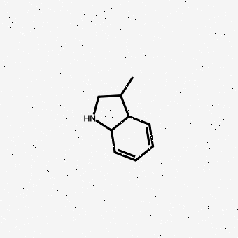 CC1CNC2C=CC=CC12